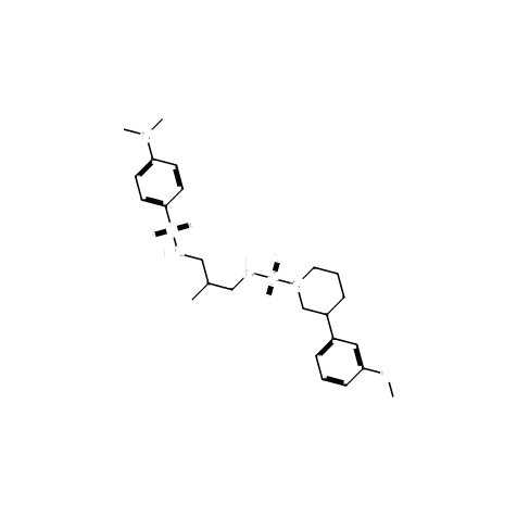 COc1cccc(C2CCCN(S(=O)(=O)NCC(C)CNS(=O)(=O)c3ccc(N(C)C)cc3)C2)c1